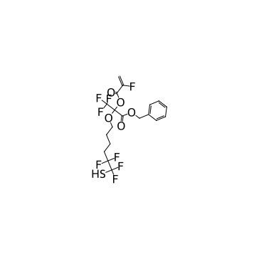 C=C(F)C(=O)OC(OCCCCC(F)(F)C(F)(F)S)(C(=O)OCc1ccccc1)C(F)(F)F